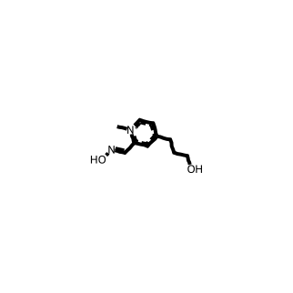 C[n+]1ccc(CCCO)cc1/C=N/O